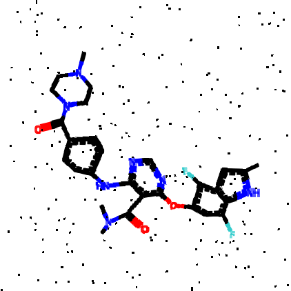 Cc1cc2c(F)c(Oc3ncnc(Nc4ccc(C(=O)N5CCN(C)CC5)cc4)c3C(=O)N(C)C)cc(F)c2[nH]1